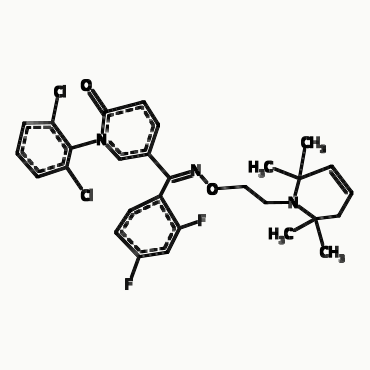 CC1(C)C=CCC(C)(C)N1CCON=C(c1ccc(=O)n(-c2c(Cl)cccc2Cl)c1)c1ccc(F)cc1F